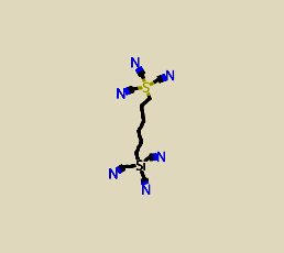 N#C[Si](C#N)(C#N)CCCCCCS(C#N)(C#N)C#N